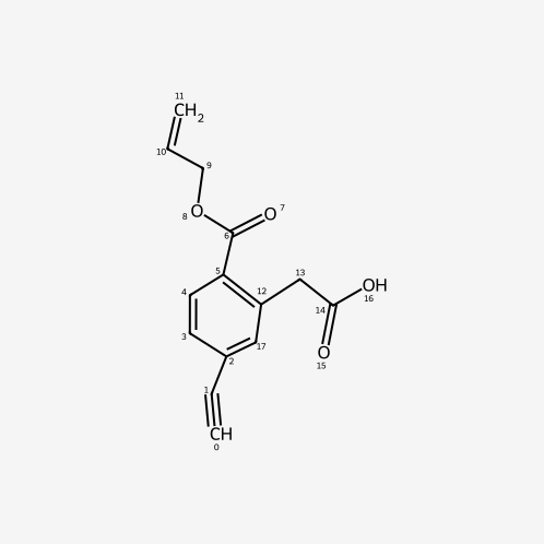 C#Cc1ccc(C(=O)OCC=C)c(CC(=O)O)c1